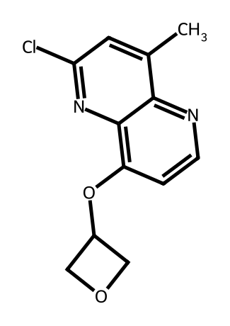 Cc1cc(Cl)nc2c(OC3COC3)ccnc12